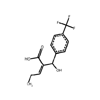 CCC=C(C(=O)O)C(O)c1ccc(C(F)(F)F)cc1